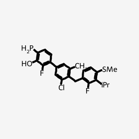 CSc1ccc(Cc2c(C)cc(-c3ccc(P)c(O)c3F)cc2Cl)c(F)c1C(C)C